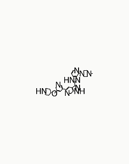 CN1CCN(c2nccc3[nH]c(-c4n[nH]c5cnc(-c6cncc(OC7CCNCC7)c6)cc45)nc23)CC1